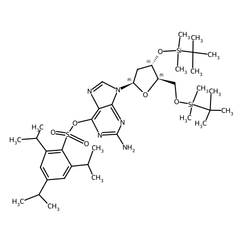 CC(C)c1cc(C(C)C)c(S(=O)(=O)Oc2nc(N)nc3c2ncn3[C@H]2C[C@H](O[Si](C)(C)C(C)(C)C)[C@@H](CO[Si](C)(C)C(C)(C)C)O2)c(C(C)C)c1